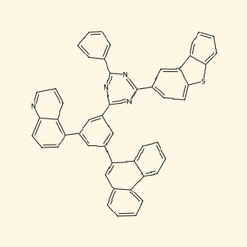 c1ccc(-c2nc(-c3cc(-c4cccc5ncccc45)cc(-c4cc5ccccc5c5ccccc45)c3)nc(-c3ccc4sc5ccccc5c4c3)n2)cc1